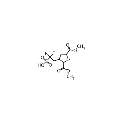 COC(=O)C1CC(CC(F)(F)S(=O)(=O)O)C(C(=O)OC)O1